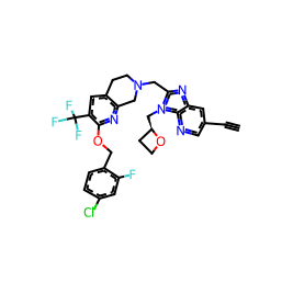 C#Cc1cnc2c(c1)nc(CN1CCc3cc(C(F)(F)F)c(OCc4ccc(Cl)cc4F)nc3C1)n2C[C@@H]1CCO1